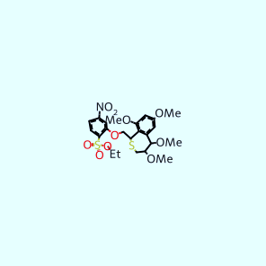 CCOS(=O)(=O)c1ccc([N+](=O)[O-])cc1OCC1SCC(OC)C(OC)c2cc(OC)cc(OC)c21